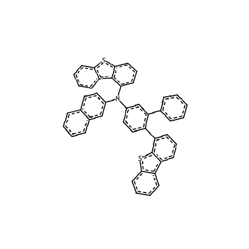 c1ccc(-c2cc(N(c3ccc4ccccc4c3)c3cccc4sc5ccccc5c34)ccc2-c2cccc3c2sc2ccccc23)cc1